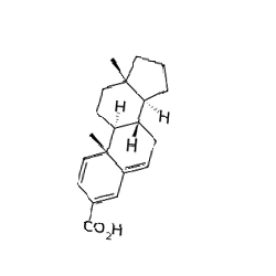 C[C@@]12CCC[C@H]1[C@@H]1CC=C3C=C(C(=O)O)C=C[C@]3(C)[C@H]1CC2